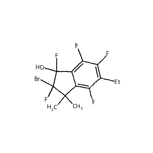 CCc1c(F)c(F)c2c(c1F)C(C)(C)C(F)(Br)C2(O)F